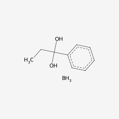 B.CCC(O)(O)c1ccccc1